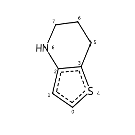 c1cc2c(s1)CCCN2